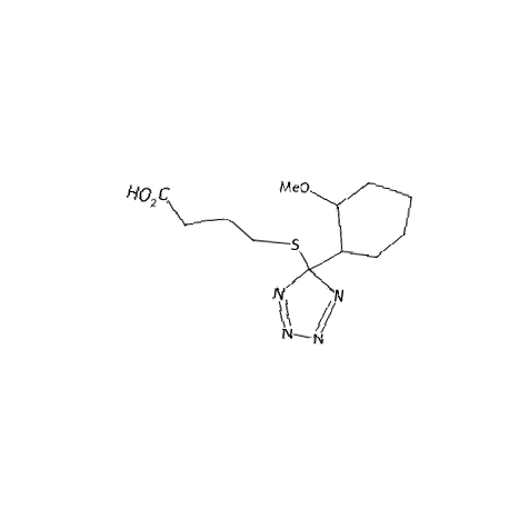 COC1CCCCC1C1(SCCCC(=O)O)N=NN=N1